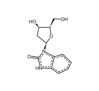 O=c1[nH]c2ccccc2n1[C@H]1C[C@@H](O)[C@@H](CO)O1